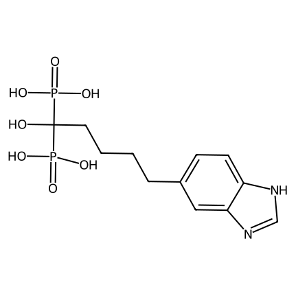 O=P(O)(O)C(O)(CCCCc1ccc2[nH]cnc2c1)P(=O)(O)O